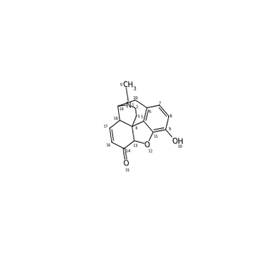 CN1CCC23c4c5ccc(O)c4OC2C(=O)C=CC3C1C5